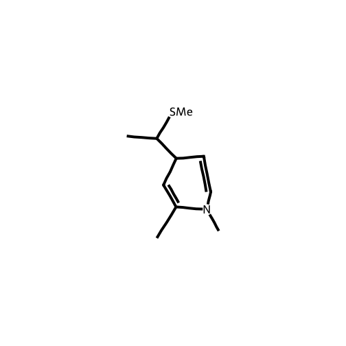 CSC(C)C1C=CN(C)C(C)=C1